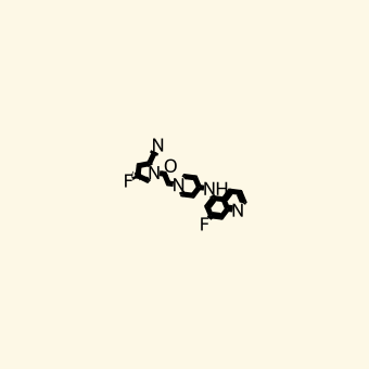 N#CC1C[C@H](F)CN1C(=O)CN1CCC(Nc2cc(F)cc3ncccc23)CC1